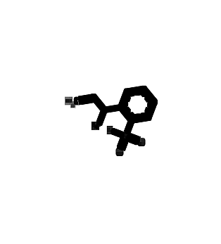 C=CC(Br)c1ccccc1S(=O)(=O)F